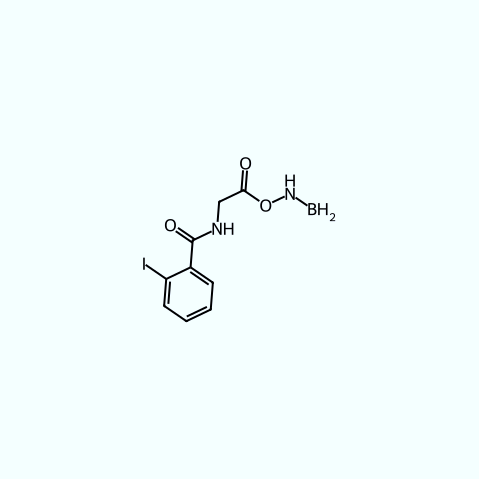 BNOC(=O)CNC(=O)c1ccccc1I